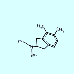 CCCN(CCC)C1Cc2ccc(C)c(C)c2C1